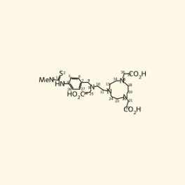 CNC(=S)Nc1ccc(CN(CCN2CCN(CC(=O)O)CCN(CC(=O)O)CC2)CC(=O)O)cc1